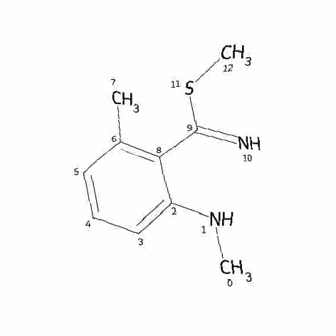 CNc1cccc(C)c1C(=N)SC